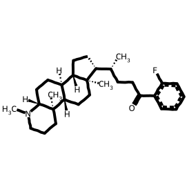 C[C@H](CCC(=O)c1ccccc1F)[C@H]1CC[C@H]2[C@@H]3CC[C@H]4N(C)CCC[C@]4(C)[C@H]3CC[C@]12C